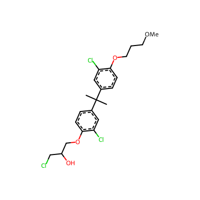 COCCCOc1ccc(C(C)(C)c2ccc(OCC(O)CCl)c(Cl)c2)cc1Cl